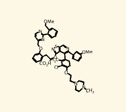 COCc1ccccc1-c1nccc(COc2ccccc2C[C@@H](Oc2nsc3cnc(-c4cccc(OC)c4)c(C4=C(C)C(Cl)=C(OCCN5CCN(C)CC5)CC4)c23)C(=O)O)n1